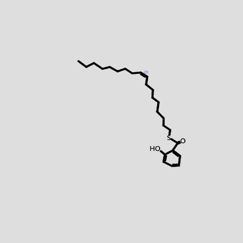 CCCCCCCC/C=C\CCCCCCCCSC(=O)c1ccccc1O